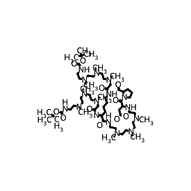 CN(CCNC(=O)OC(C)(C)C)CCN(C)CCN(C)CC(=O)/N=C(\CCCCNC(=O)CN(C)CCN(C)CCN(C)CCNC(=O)OC(C)(C)C)C(=O)NCCN(C)CCN(C)CCN(C)CC(=O)NC(CC=O)C(=O)N1CCCC1C=O